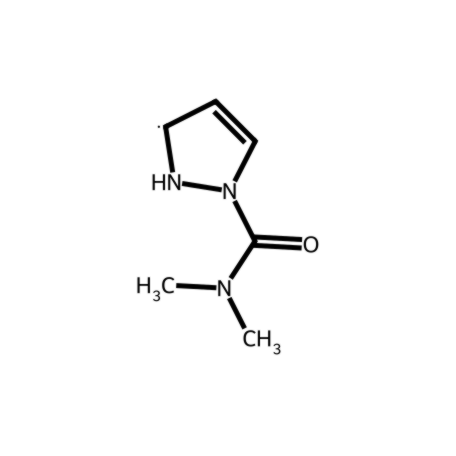 CN(C)C(=O)N1C=C[CH]N1